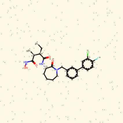 CCC[C@H](C(=O)NO)[C@@H](CC(C)C)C(=O)N[C@H]1CCCCN(Cc2cccc(-c3ccc(F)c(Cl)c3)c2)C1=O